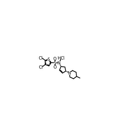 CC1CCN([C@H]2C=C[C@@H](N(C)S(=O)(=O)c3cc(Cl)c(Cl)s3)C2)CC1.Cl